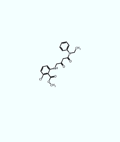 CCN(C(=O)CC(=O)CNc1cccc(Cl)c1C(=O)OC)c1ccccc1